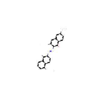 C[N]c1ccc2c(O)c(/N=N/c3ccc4c(S(=O)(=O)O)cccc4c3S(=O)(=O)O)c(S(=O)(=O)O)cc2c1